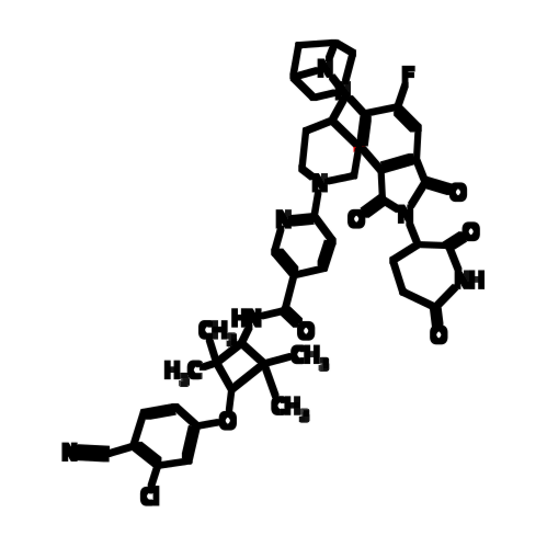 CC1(C)C(NC(=O)c2ccc(N3CCC(CN4C5CC4CN(c4cc6c(cc4F)C(=O)N(C4CCC(=O)NC4=O)C6=O)C5)CC3)nc2)C(C)(C)C1Oc1ccc(C#N)c(Cl)c1